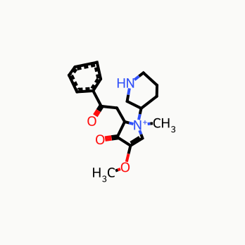 COC1=C[N+](C)(C2CCCNC2)C(CC(=O)c2ccccc2)C1=O